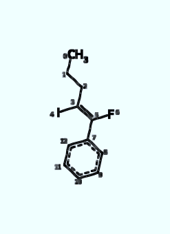 CCC/C(I)=C(\F)c1ccccc1